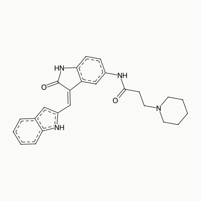 O=C(CCN1CCCCC1)Nc1ccc2c(c1)/C(=C/c1cc3ccccc3[nH]1)C(=O)N2